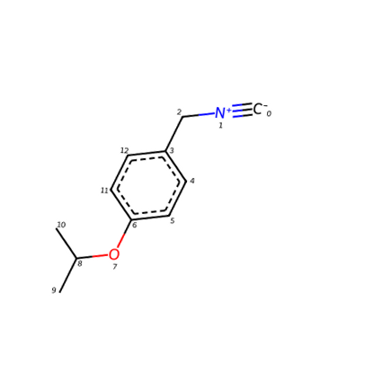 [C-]#[N+]Cc1ccc(OC(C)C)cc1